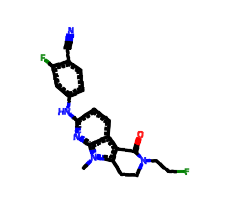 Cn1c2c(c3ccc(Nc4ccc(C#N)c(F)c4)nc31)C(=O)N(CCF)CC2